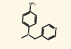 CN(Cc1ccncc1)c1ccc(N)cc1